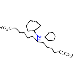 C1CCC(NC2CCCCC2)CC1.O=C(O)CCCCCCCCCCC(=O)O